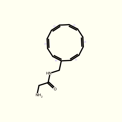 NCC(=O)NCC1=C/C=C\C=C/C=C\C=C/C=C\1